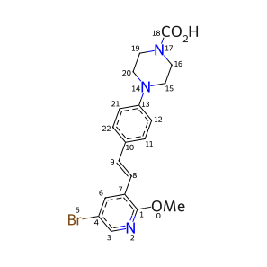 COc1ncc(Br)cc1C=Cc1ccc(N2CCN(C(=O)O)CC2)cc1